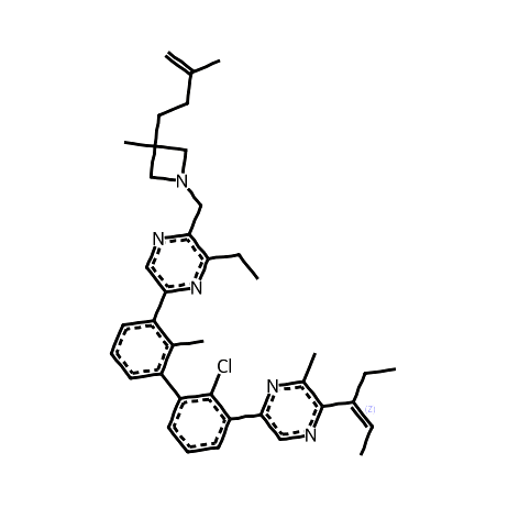 C=C(C)CCC1(C)CN(Cc2ncc(-c3cccc(-c4cccc(-c5cnc(/C(=C\C)CC)c(C)n5)c4Cl)c3C)nc2CC)C1